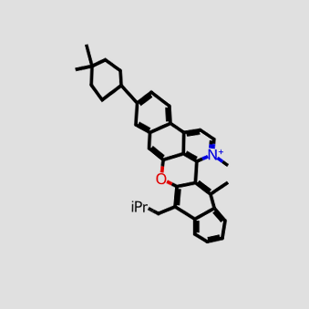 Cc1c2c(c(CC(C)C)c3ccccc13)Oc1cc3cc(C4CCC(C)(C)CC4)ccc3c3cc[n+](C)c-2c13